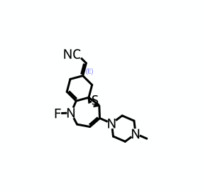 CN1CCN(C2=CCN(F)C3=CC/C(=C\C#N)CC34CSC=C24)CC1